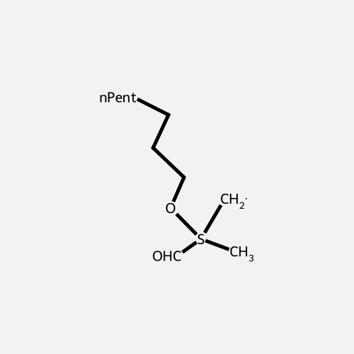 [CH2]S(C)(C=O)OCCCCCCCC